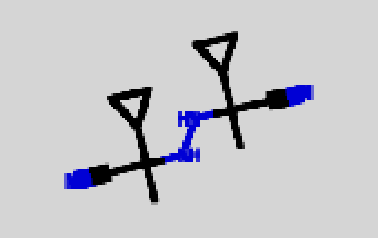 CC(C#N)(NNC(C)(C#N)C1CC1)C1CC1